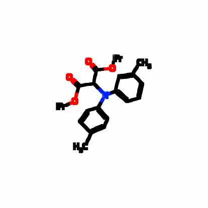 Cc1ccc(N(c2cccc(C)c2)C(C(=O)OC(C)C)C(=O)OC(C)C)cc1